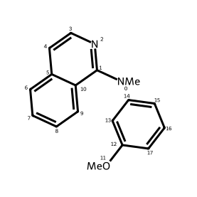 CNc1nccc2ccccc12.COc1ccccc1